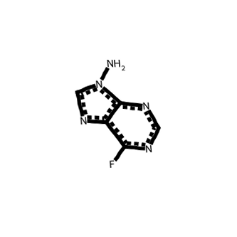 Nn1cnc2c(F)ncnc21